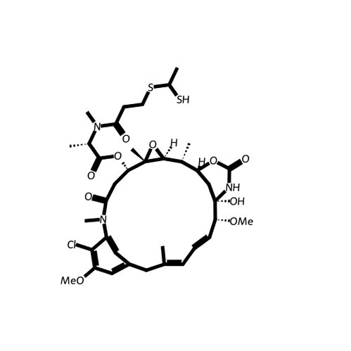 COc1cc2cc(c1Cl)N(C)C(=O)C[C@H](OC(=O)[C@H](C)N(C)C(=O)CCSC(C)S)[C@]1(C)O[C@H]1[C@H](C)[C@@H]1C[C@@](O)(NC(=O)O1)[C@H](OC)/C=C/C=C(\C)C2